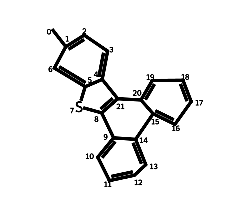 Cc1ccc2c(c1)sc1c3ccccc3c3ccccc3c21